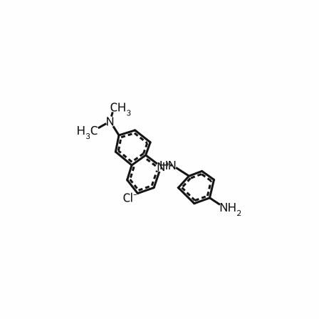 CN(C)c1ccc2c(ccc[n+]2Nc2ccc(N)cc2)c1.[Cl-]